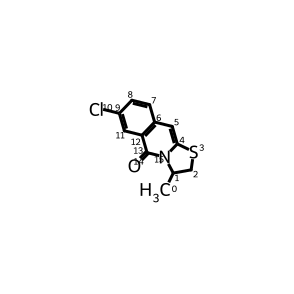 CC1CSc2cc3ccc(Cl)cc3c(=O)n21